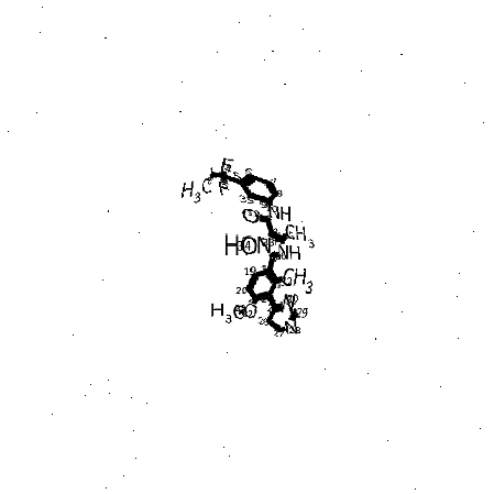 CCC(F)(F)c1cccc(NC(=O)c2c(C)[nH]c(-c3ccc(OC)c(-c4ccncn4)c3C)[n+]2O)c1